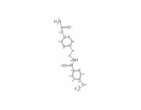 NC(=O)Oc1ccc(CCNC(=O)c2ccc(OC(F)(F)F)cc2)cc1